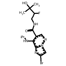 CC(C)Nc1c(C(=O)NCC(F)C(C)(C)O)cnn2cc(Br)nc12